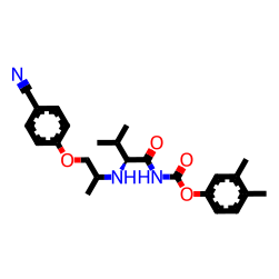 Cc1ccc(OC(=O)NC(=O)[C@@H](NC(C)COc2ccc(C#N)cc2)C(C)C)cc1C